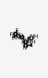 CC1(C)CNCC[C@@H]1Nc1nc(-c2ccnc(Nc3nc(F)cc(F)c3F)c2)nc2cncc(C3CC3)c12